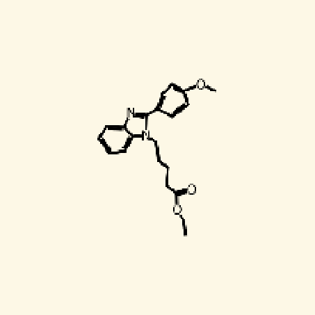 CCOC(=O)CCCCn1c(-c2ccc(OC)cc2)nc2ccccc21